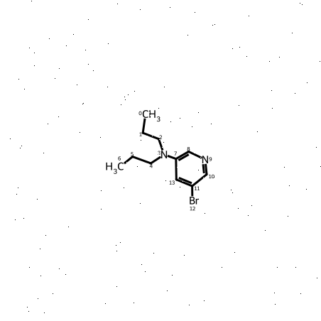 CCCN(CCC)c1cncc(Br)c1